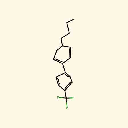 CCCCC1C=CC(c2ccc(C(F)(F)F)cc2)=CC1